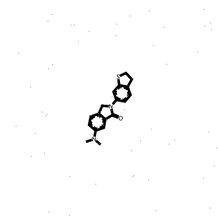 CN(C)c1ccc2c(c1)C(=O)N(c1ccc3c(c1)SCC3)C2